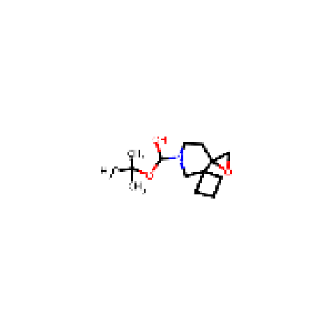 CC(C)(C)OC(O)N1CCC2(CO2)C2(CCC2)C1